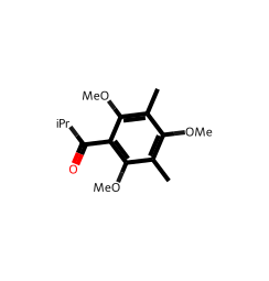 COc1c(C)c(OC)c(C(=O)C(C)C)c(OC)c1C